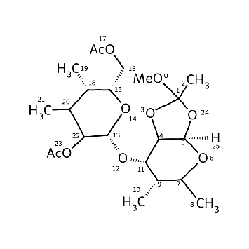 COC1(C)OC2[C@H](OC(C)[C@H](C)[C@@H]2O[C@H]2O[C@@H](COC(C)=O)[C@@H](C)C(C)C2OC(C)=O)O1